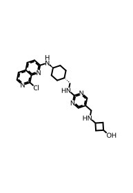 OC1CC(NCc2cnc(NC[C@H]3CC[C@H](Nc4ccc5ccnc(Cl)c5n4)CC3)nc2)C1